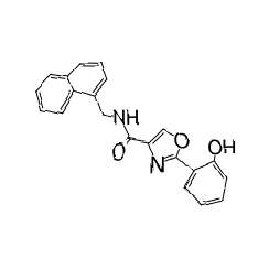 O=C(NCc1cccc2ccccc12)c1coc(-c2ccccc2O)n1